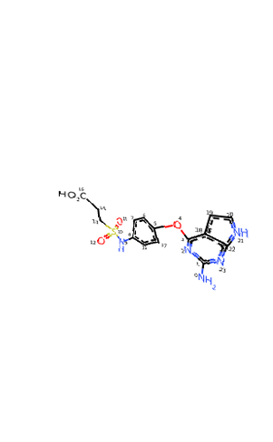 Nc1nc(Oc2ccc(NS(=O)(=O)CCC(=O)O)cc2)c2cc[nH]c2n1